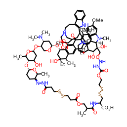 CC[C@]1(O)CC2CN(CCc3c([nH]c4ccccc34)[C@@](C(=O)O)(C3C[C@]45c6ccc(OC)cc6N(C)[C@H]4[C@@](O)(CONNC(=O)OCCSSCC(NC(=O)C(C)COC(=O)CCSSCCC(=O)N/N=C4/CC[C@H](O[C@H]6C(O)C[C@H](O[C@@H]7CO[C@@H](O[C@H]8C[C@](O)(CC)[C@H](C)c9cc%10c(c(O)c98)C(=O)c8c(cccc8OC)C%10)C[C@H]7N(C)C)OC6C)OC4C)C(=O)O)[C@H](O)[C@]4(CC)C=CCN3[C@@H]45)C2)C1